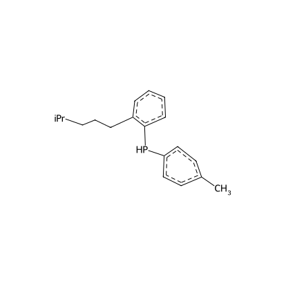 Cc1ccc(Pc2ccccc2CCCC(C)C)cc1